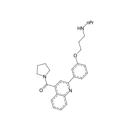 CCCNCCCOc1cccc(-c2cc(C(=O)N3CCCC3)c3ccccc3n2)c1